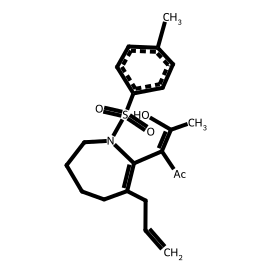 C=CCC1=C(C(C(C)=O)=C(C)O)N(S(=O)(=O)c2ccc(C)cc2)CCCC1